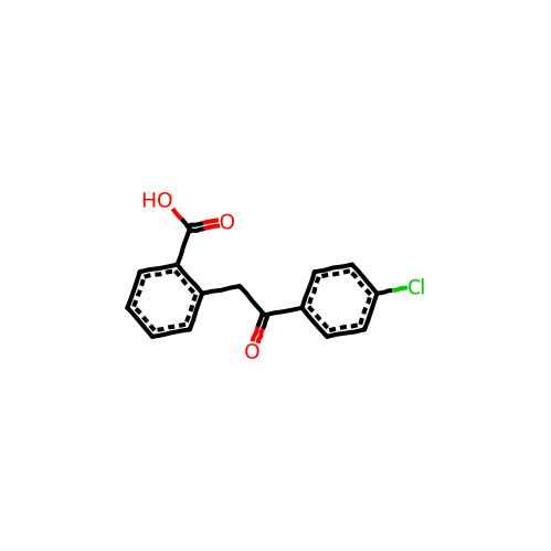 O=C(Cc1ccccc1C(=O)O)c1ccc(Cl)cc1